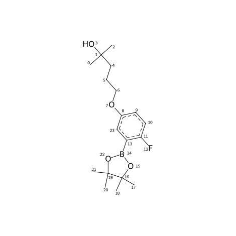 CC(C)(O)CCCOc1ccc(F)c(B2OC(C)(C)C(C)(C)O2)c1